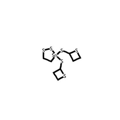 C1[CH2][Sn]([S]C2CCS2)([S]C2CCS2)[S]S1